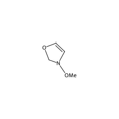 CON1C=[C]OC1